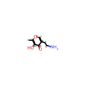 Cc1occ(CCN)c(=O)c1O